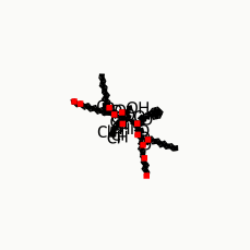 CCCCCCCCCCC[C@H](CC(=O)N[C@@H](CC[C@@H]1O[C@H](CO)[C@@H](O)[C@H](OC(=O)C[C@@H](CCCCCCCCCCC)OC(=O)CCCCCCCCC)[C@H]1NC(=O)OCC(Cl)(Cl)Cl)CC(=O)OCc1ccccc1)OC(=O)CCCCCCCCC